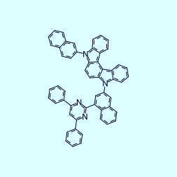 c1ccc(-c2cc(-c3ccccc3)nc(-c3cc(-n4c5ccccc5c5c6c7ccccc7n(-c7ccc8ccccc8c7)c6ccc54)cc4ccccc34)n2)cc1